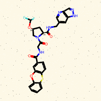 O=C(NCC(=O)N1C[C@H](OC(F)F)C[C@H]1C(=O)NCc1cnc2cn[nH]c2c1)c1ccc2c(c1)Oc1ccccc1S2